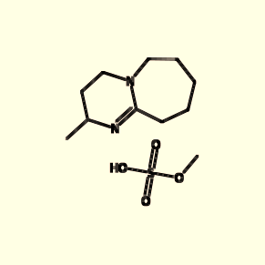 CC1CCN2CCCCCC2=N1.COS(=O)(=O)O